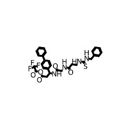 O=C(CCNC(=S)NCc1ccccc1)NCC(=O)NC(CC(=O)OC(=O)C(F)(F)F)c1ccc(-c2ccccc2)cc1